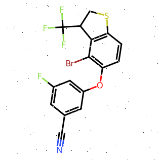 N#Cc1cc(F)cc(Oc2ccc3c(c2Br)C(C(F)(F)F)CS3)c1